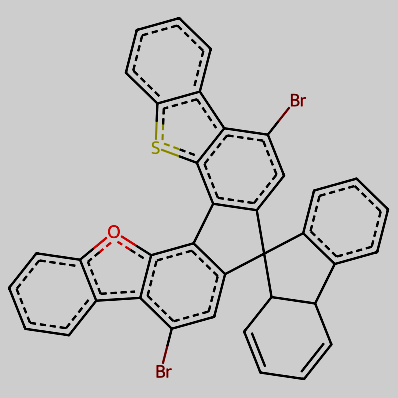 Brc1cc2c(c3oc4ccccc4c13)-c1c(cc(Br)c3c1sc1ccccc13)C21c2ccccc2C2C=CC=CC21